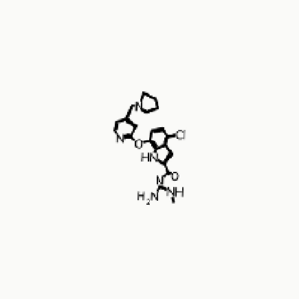 CNC(N)=NC(=O)c1cc2c(Cl)ccc(Oc3cc(CN4CCCC4)ccn3)c2[nH]1